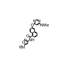 CNc1cc(Oc2ccc3c(C(=O)Nc4cc(C(C)(C)C)on4)cccc3c2)ncn1